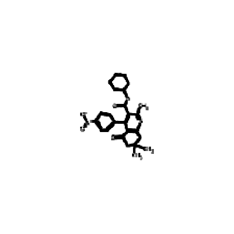 Cc1nc2c(c(-c3ccc([N+](=O)[O-])cc3)c1C(=O)OC1CCCCC1)C(=O)CC(C)(C)C2